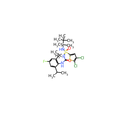 CC(C)c1cc(F)cc(C(C)C)c1NC(=O)N=S(=O)(N[Si](C)(C)C(C)(C)C)c1cc(Cl)c(Cl)s1